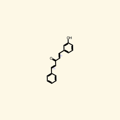 O=C(/C=C/c1ccccc1)/C=C/c1cccc(O)c1